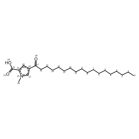 CCCCCCCCCCCCCCCCCC(=O)c1cc(C(=O)O)n(C)c1